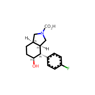 O=C(O)N1C[C@@H]2CC[C@H](O)[C@@H](c3ccc(F)cc3)[C@@H]2C1